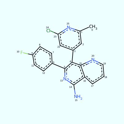 Cc1cc(-c2c(-c3ccc(F)cc3)nc(N)c3cccnc23)cc(Cl)n1